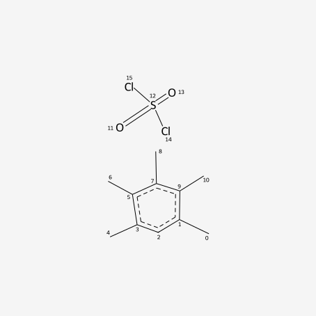 Cc1cc(C)c(C)c(C)c1C.O=S(=O)(Cl)Cl